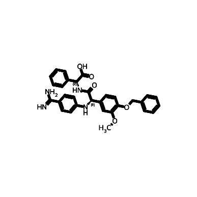 COc1cc([C@@H](Nc2ccc(C(=N)N)cc2)C(=O)N[C@@H](C(=O)O)c2ccccc2)ccc1OCc1ccccc1